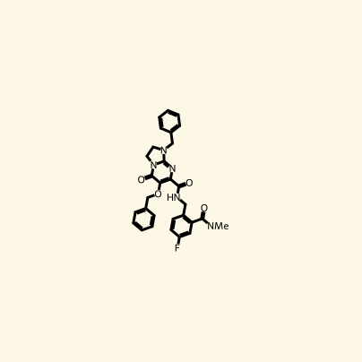 CNC(=O)c1cc(F)ccc1CNC(=O)c1nc2n(c(=O)c1OCc1ccccc1)CCN2Cc1ccccc1